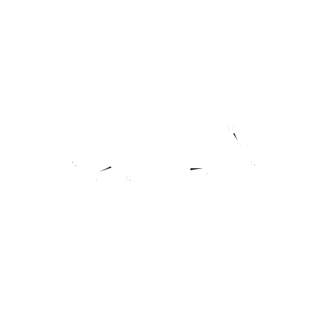 CN1CCC[C@@H]1Cn1ccc2cc([C@@H]3CCN4CCC[C@H]4C3)ccc21